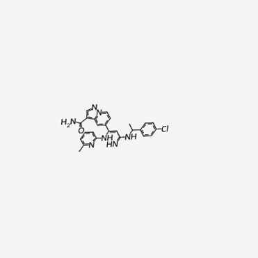 Cc1cccc(N/C(=C\C(=N)NC(C)c2ccc(Cl)cc2)c2ccn3ncc(C(N)=O)c3c2)n1